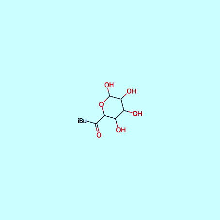 CCC(C)C(=O)C1OC(O)C(O)C(O)C1O